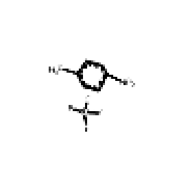 F[B-](F)(F)F.Nc1ccc(N)cc1